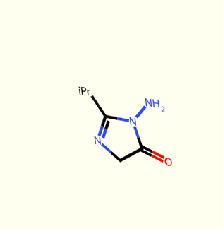 CC(C)C1=NCC(=O)N1N